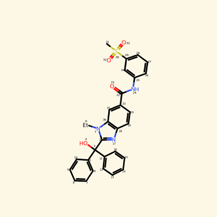 CCn1c(C(O)(c2ccccc2)c2ccccc2)nc2ccc(C(=O)Nc3cccc(S(C)(=O)=O)c3)cc21